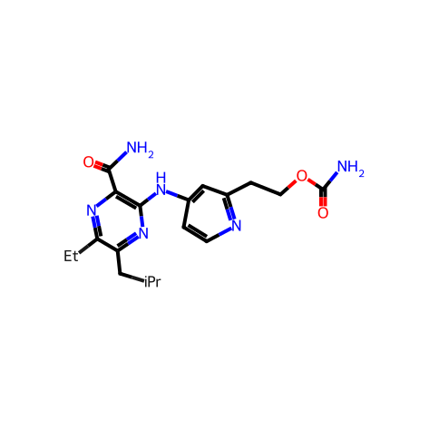 CCc1nc(C(N)=O)c(Nc2ccnc(CCOC(N)=O)c2)nc1CC(C)C